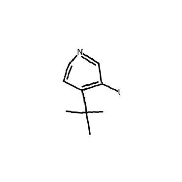 CC(C)(C)c1ccncc1I